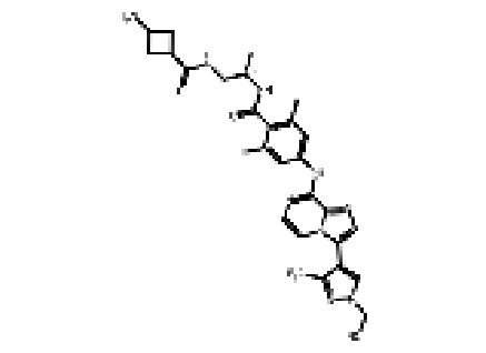 Cc1cc(Nc2nccn3c(-c4cn(CC#N)nc4C(F)(F)F)cnc23)cc(F)c1C(=O)N[C@H](C)CNC(=O)C1CC(N)C1